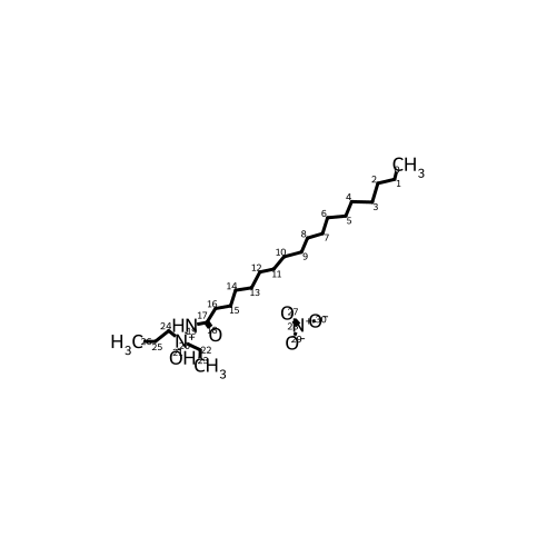 CCCCCCCCCCCCCCCCCC(=O)N[N@+](O)(CC)CCC.O=[N+]([O-])[O-]